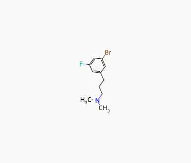 CN(C)CCCc1cc(F)cc(Br)c1